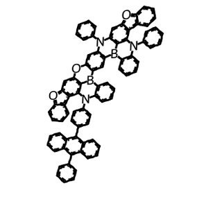 c1ccc(-c2c3ccccc3c(-c3ccc(N4c5ccccc5B5c6cc7c(cc6Oc6cc8oc9ccccc9c8c4c65)N(c4ccccc4)c4cc5oc6ccccc6c5c5c4B7c4ccccc4N5c4ccccc4)cc3)c3ccccc23)cc1